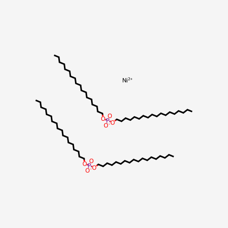 CCCCCCCCCCCCCCCCCCOP(=O)([O-])OCCCCCCCCCCCCCCCCCC.CCCCCCCCCCCCCCCCCCOP(=O)([O-])OCCCCCCCCCCCCCCCCCC.[Ni+2]